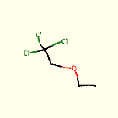 CCOCC(Cl)(Cl)Cl